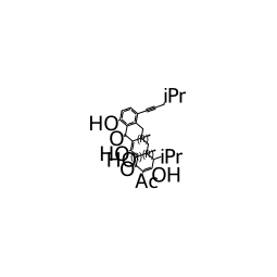 CC(=O)C1=C(O)C(C(C)C)[C@@]2(C)C[C@@]3(C)Cc4c(C#CCC(C)C)ccc(O)c4C(=O)C3=C(O)[C@@]2(O)C1=O